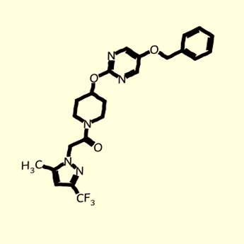 Cc1cc(C(F)(F)F)nn1CC(=O)N1CCC(Oc2ncc(OCc3ccccc3)cn2)CC1